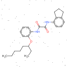 CCCCCC(CC)Oc1ccccc1NC(=O)C(=O)Nc1cccc2c1CCC2